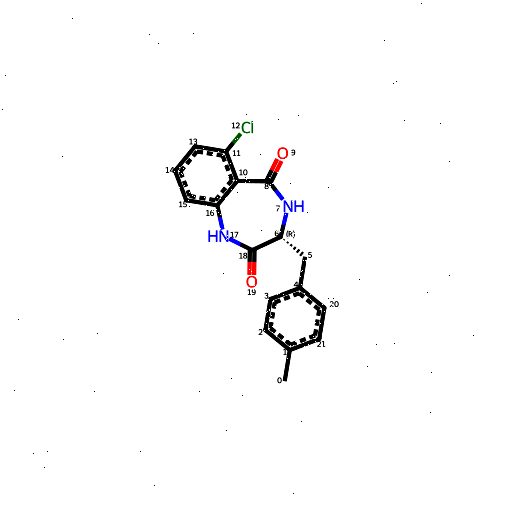 Cc1ccc(C[C@H]2NC(=O)c3c(Cl)cccc3NC2=O)cc1